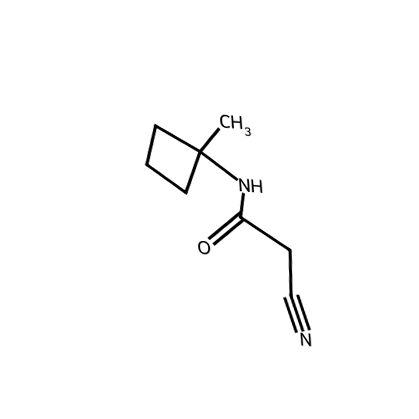 CC1(NC(=O)CC#N)CCC1